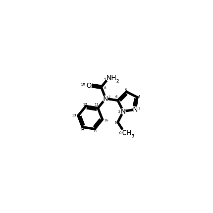 CCn1nccc1N(C(N)=O)c1ccccc1